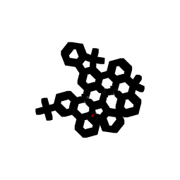 CC(C)(C)c1ccc(N2c3cc4c(c5c3B(c3c2oc2ccccc32)N2c3ccccc3C(C)(C)c3cccc-5c32)C(C)(C)c2ccccc2-4)c(-c2ccccc2)c1